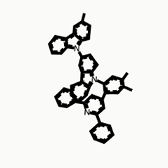 Cc1ccc2c(c1)c1ccccc1n2-c1ccc2c(c1)c1ccccc1n2-c1cc(C)c(C)cc1-c1cc(-c2ccccc2)nc(-c2ccccc2)c1